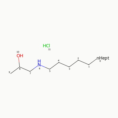 CCCCCCCCCCCCNCC(C)O.Cl